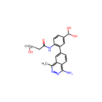 Cc1nnc(N)c2ccc(-c3cc(B(O)O)ccc3NC(=O)CC(C)C)cc12.O=CO